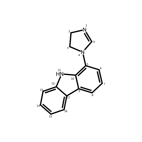 C1=NCCN1c1cccc2c1[nH]c1ccccc12